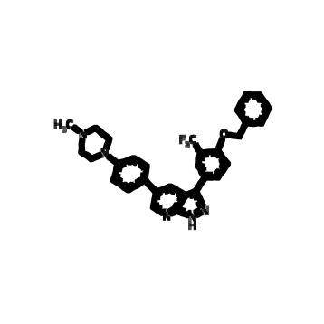 CN1CCN(c2ccc(-c3cnc4[nH]nc(-c5ccc(OCc6ccccc6)c(C(F)(F)F)c5)c4c3)cc2)CC1